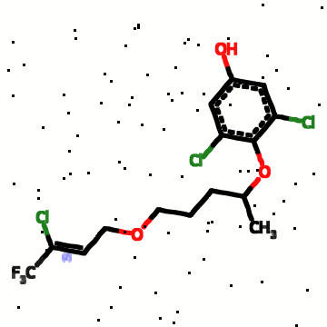 CC(CCCOC/C=C(\Cl)C(F)(F)F)Oc1c(Cl)cc(O)cc1Cl